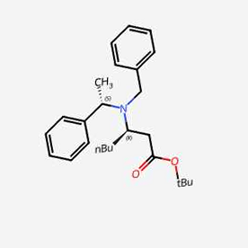 CCCC[C@H](CC(=O)OC(C)(C)C)N(Cc1ccccc1)[C@@H](C)c1ccccc1